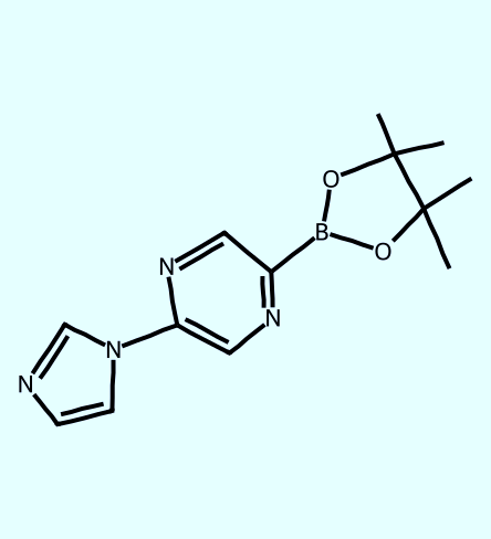 CC1(C)OB(c2cnc(-n3ccnc3)cn2)OC1(C)C